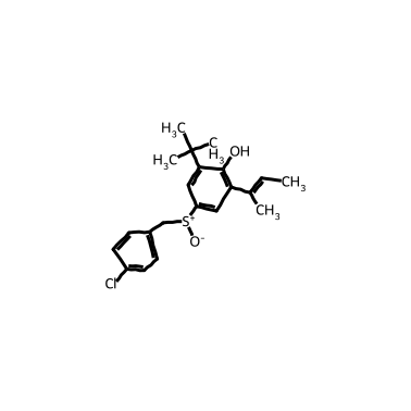 CC=C(C)c1cc([S+]([O-])Cc2ccc(Cl)cc2)cc(C(C)(C)C)c1O